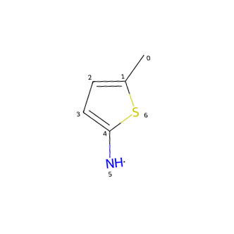 Cc1ccc([NH])s1